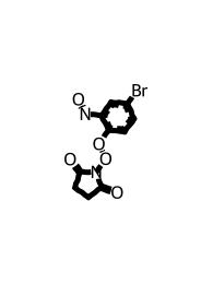 O=Nc1cc(Br)ccc1OON1C(=O)CCC1=O